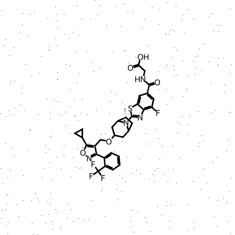 C[C@@H]1CC2CC(OCc3c(-c4ccccc4C(F)(F)F)noc3C3CC3)CC1N2c1nc2c(F)cc(C(=O)NCC(=O)O)cc2s1